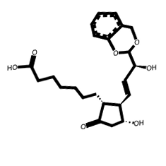 O=C(O)CCCCCC[C@H]1C(=O)C[C@@H](O)[C@@H]1/C=C/[C@H](O)C1OCc2ccccc2O1